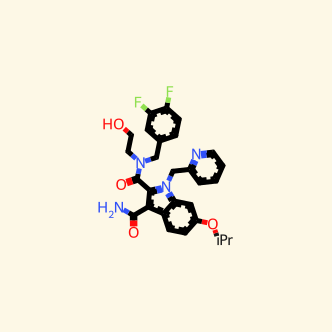 CC(C)Oc1ccc2c(C(N)=O)c(C(=O)N(CCO)Cc3ccc(F)c(F)c3)n(Cc3ccccn3)c2c1